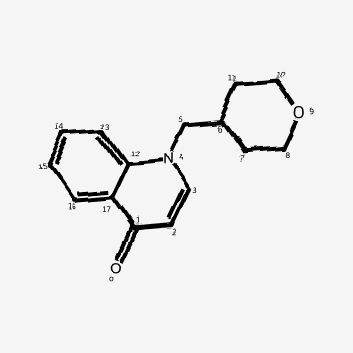 O=c1ccn(CC2CCOCC2)c2ccccc12